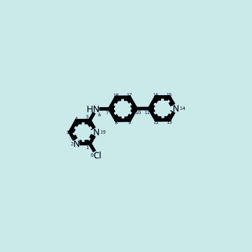 Clc1nccc(Nc2ccc(-c3ccncc3)cc2)n1